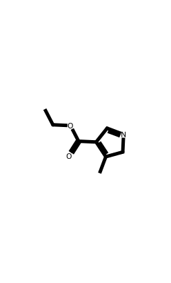 CCOC(=O)C1=C(C)CN=C1